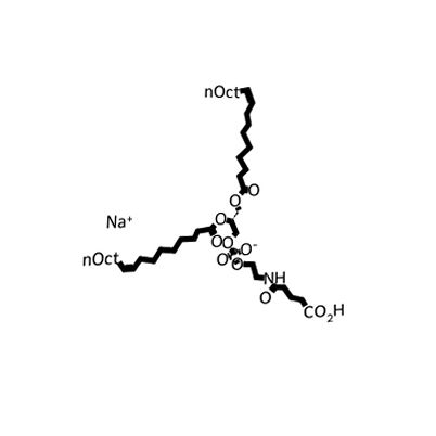 CCCCCCCC/C=C\CCCCCCCC(=O)OC[C@H](COP(=O)([O-])OCCNC(=O)CCCC(=O)O)OC(=O)CCCCCCC/C=C\CCCCCCCC.[Na+]